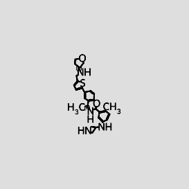 Cc1ccc(NC2CNC2)cc1C(=O)N[C@H](C)c1cccc(-c2ccc(CN[C@@H]3CCOC3)s2)c1